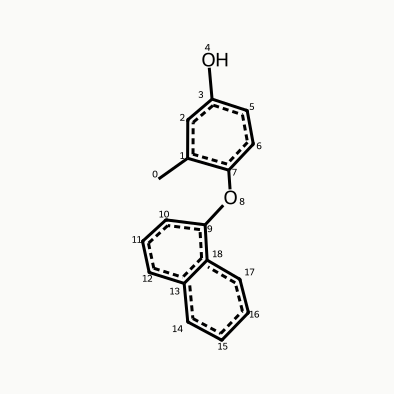 Cc1cc(O)ccc1Oc1cccc2ccccc12